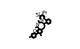 C=C1/N=C(/C)c2c(cc(C)c3c2oc2cc(C)ccc23)CCC2c3ccccc3-c3cc(C(C)C)c([Si](C)(C)C)c[n+]3C12